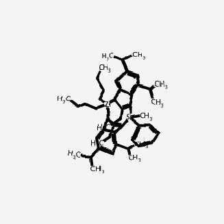 CCC[CH2][Zr]1([CH2]CCC)[CH]2C(CC)=C(c3c(C(C)C)cc(C(C)C)cc32)[Si](C)(c2ccccc2)C2=C(CC)[CH]1c1cc(C(C)C)cc(C(C)C)c12